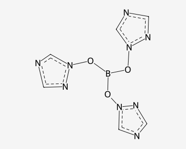 c1ncn(OB(On2cncn2)On2cncn2)n1